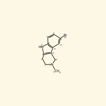 CN1CCc2[nH]c3ccc(Br)cc3c2C1